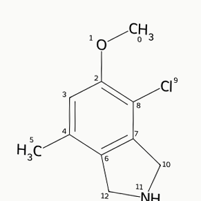 COc1cc(C)c2c(c1Cl)CNC2